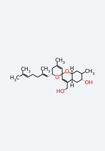 CC(C)=CCC/C(C)=C/[C@@H]1CC(C)=C[C@]2(C=C(CO)[C@H]3C[C@@H](O)C(C)C[C@H]3O2)O1